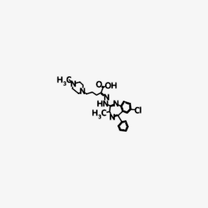 CC1N=C(c2ccccc2)c2cc(Cl)ccc2N=C1N/N=C(\CCCN1CCN(C)CC1)C(=O)O